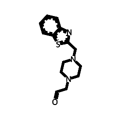 O=CCN1CCN(Cc2nc3ccccc3s2)CC1